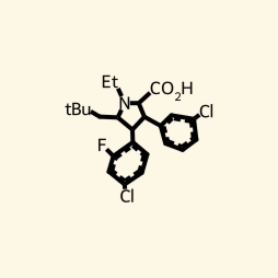 CCN1C(CC(C)(C)C)C(c2ccc(Cl)cc2F)C(c2cccc(Cl)c2)C1C(=O)O